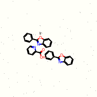 O=C(O)c1ccccn1.[Ir].c1ccc(-c2nc3ccccc3o2)cc1.c1ccc(-c2nc3ccccc3o2)cc1